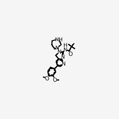 COc1ccc(-c2cnc3c(c2)CN(N2CCCNCC2)C(NC(=O)C(C)(C)C)=N3)cc1OC